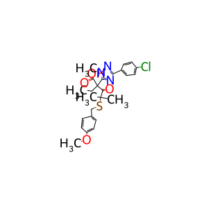 CCC(C(=O)O)(C(=O)C(C)(C)SCc1ccc(OC)cc1)c1nc(-c2ccc(Cl)cc2)nn1C